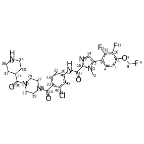 Cn1c(-c2ccc(OCF)c(F)c2F)cnc1C(=O)Nc1ccc(C(=O)N2CCN(C(=O)C3CCNCC3)CC2)c(Cl)c1